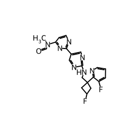 CN(C=O)c1ccnc(-c2cnc(NCC3(c4ncccc4F)CC(F)C3)nc2)n1